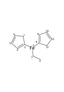 C[CH2][Fe]([C]1=CC=CC1)[C]1=CC=CC1